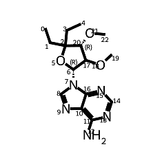 CCC1(CC)O[C@@H](n2cnc3c(N)ncnc32)C(OC)[C@H]1OC